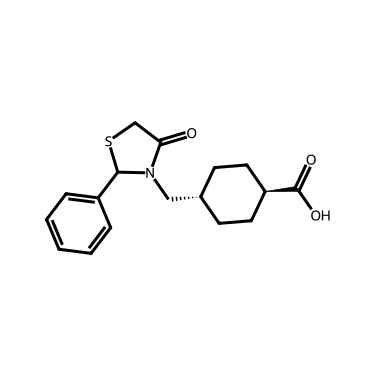 O=C1CSC(c2ccccc2)N1C[C@H]1CC[C@H](C(=O)O)CC1